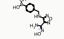 N/C(=N\O)c1nonc1NCc1ccc(B(O)O)cc1